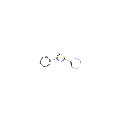 C1=C(c2nc(-c3ccccc3)cs2)CC[N]C1